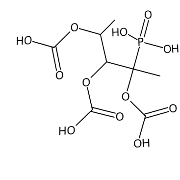 CC(OC(=O)O)C(OC(=O)O)C(C)(OC(=O)O)P(=O)(O)O